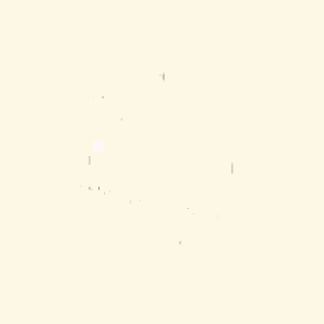 CO/N=C(/C(=O)CBr)C(=O)OC(C)S(C)(=O)=O